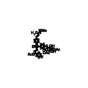 CN/N=C(\C)CCc1ccc(N2C(=O)C(CC[C@H](OC(C)=O)c3ccc(F)cc3)[C@H]2c2ccc(CC(O)C(O)C(O)(COC(C)=O)COC(C)=O)cc2)cc1